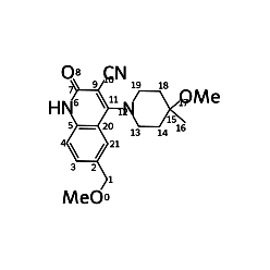 COCc1ccc2[nH]c(=O)c(C#N)c(N3CCC(C)(OC)CC3)c2c1